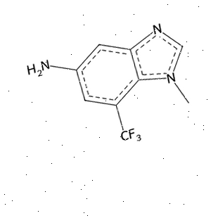 Cn1cnc2cc(N)cc(C(F)(F)F)c21